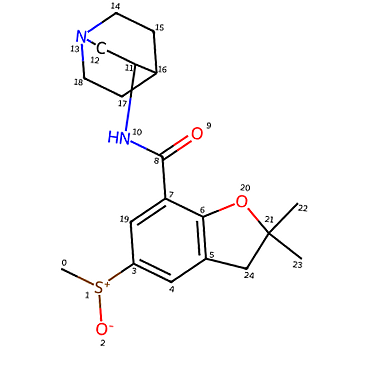 C[S+]([O-])c1cc2c(c(C(=O)NC3CN4CCC3CC4)c1)OC(C)(C)C2